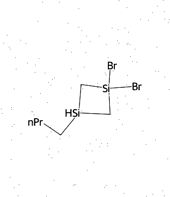 CCCC[SiH]1C[Si](Br)(Br)C1